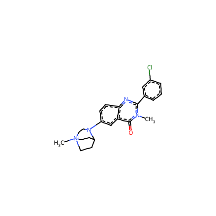 Cn1c(-c2cccc(Cl)c2)nc2ccc(N3CC[N+]4(C)CCC3CC4)cc2c1=O